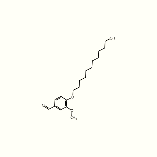 COc1cc(C=O)ccc1OCCCCCCCCCCCO